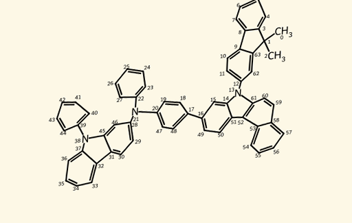 CC1(C)c2ccccc2-c2ccc(-n3c4cc(-c5ccc(N(c6ccccc6)c6ccc7c8ccccc8n(-c8ccccc8)c7c6)cc5)ccc4c4c5ccccc5ccc43)cc21